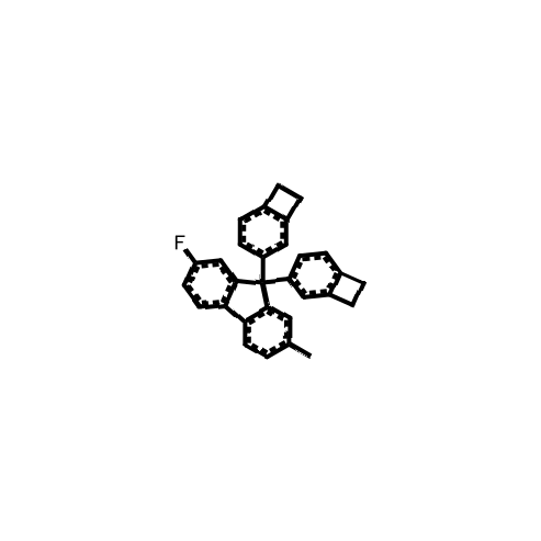 Cc1ccc2c(c1)C(c1ccc3c(c1)CC3)(c1ccc3c(c1)CC3)c1cc(F)ccc1-2